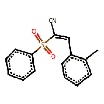 Cc1ccccc1/C=C(/C#N)S(=O)(=O)c1ccccc1